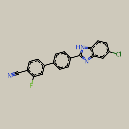 N#Cc1ccc(-c2ccc(-c3nc4cc(Cl)ccc4[nH]3)cc2)cc1F